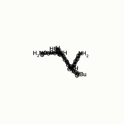 CC(C)(C)OC(=O)COc1ccc(CC(NC(=O)CCOCCOCCOCCOCCN)C(=O)NCCOCCOCCOCCOCCC(=O)NC(Cc2ccc(O)cc2)C(=O)NCCOCCOCCOCCOCCC(N)=O)cc1